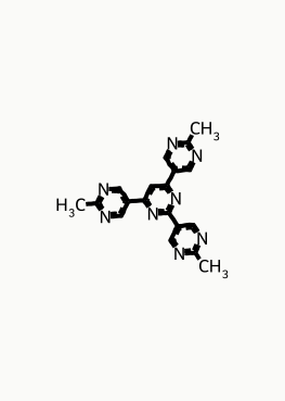 Cc1ncc(-c2cc(-c3cnc(C)nc3)nc(-c3cnc(C)nc3)n2)cn1